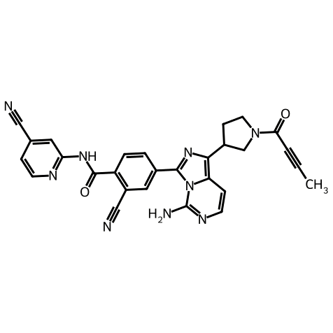 CC#CC(=O)N1CCC(c2nc(-c3ccc(C(=O)Nc4cc(C#N)ccn4)c(C#N)c3)n3c(N)nccc23)C1